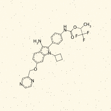 CC(OC(=O)Nc1ccc(-c2c(N)c3ccc(OCc4cnccn4)cc3n2C2CCC2)cc1)C(F)(F)F